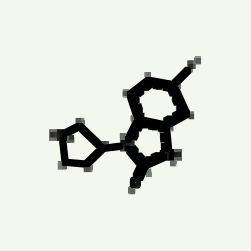 O=c1[nH]c2cc(F)ccc2n1C1CCNC1